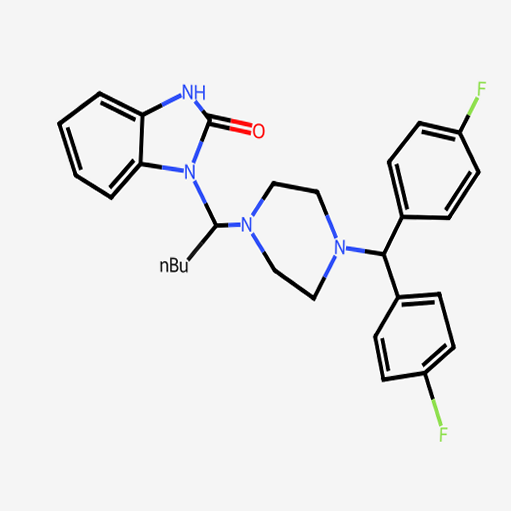 CCCCC(N1CCN(C(c2ccc(F)cc2)c2ccc(F)cc2)CC1)n1c(=O)[nH]c2ccccc21